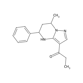 CCC(=O)c1cnn2c1NC(c1ccccc1)CC2C